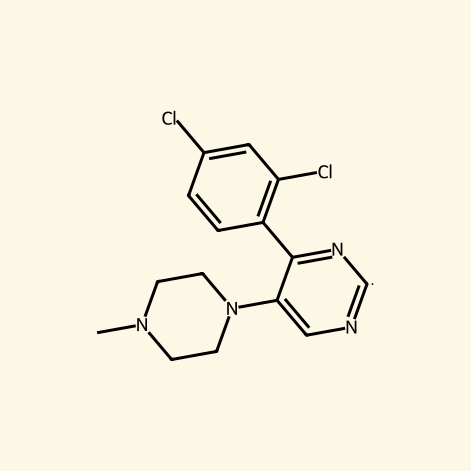 CN1CCN(c2cn[c]nc2-c2ccc(Cl)cc2Cl)CC1